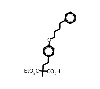 CCOC(=O)C(C)(CCc1ccc(OCCCCc2ccccc2)cc1)C(=O)O